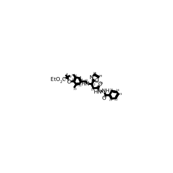 CCOC(=O)C(C)(C)Oc1c(C)cc(CNC(CC(=O)NNC(=O)c2ccccc2)c2ncco2)cc1C